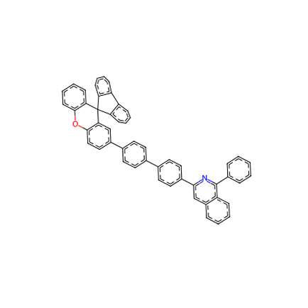 c1ccc(-c2nc(-c3ccc(-c4ccc(-c5ccc6c(c5)C5(c7ccccc7O6)c6ccccc6-c6ccccc65)cc4)cc3)cc3ccccc23)cc1